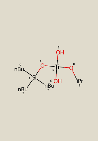 CCCC[Si](CCCC)(CCCC)[O][Ti]([OH])([OH])[O]C(C)C